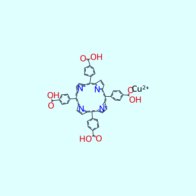 O=C(O)c1ccc(-c2c3nc(c(-c4ccc(C(=O)O)cc4)c4ccc([n-]4)c(-c4ccc(C(=O)O)cc4)c4nc(c(-c5ccc(C(=O)O)cc5)c5ccc2[n-]5)C=C4)C=C3)cc1.[Cu+2]